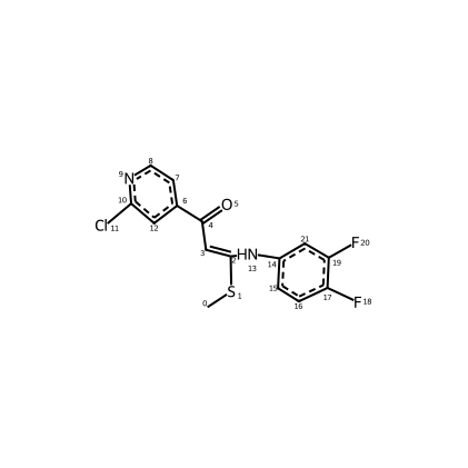 CS/C(=C/C(=O)c1ccnc(Cl)c1)Nc1ccc(F)c(F)c1